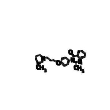 Cc1nc2ccccc2c(=O)n1-c1ccc(OCCCN2CCC[C@H](C)C2)cc1